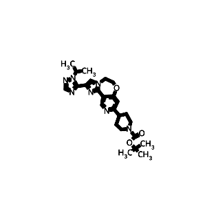 CC(C)n1ncnc1-c1cn2c(n1)-c1cnc(C3CCN(C(=O)OC(C)(C)C)CC3)cc1OCC2